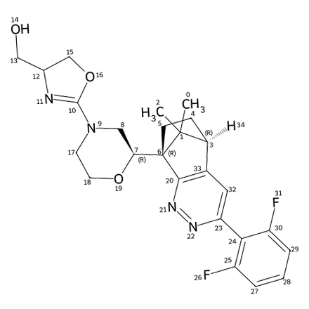 CC1(C)[C@H]2CC[C@]1([C@@H]1CN(C3=NC(CO)CO3)CCO1)c1nnc(-c3c(F)cccc3F)cc12